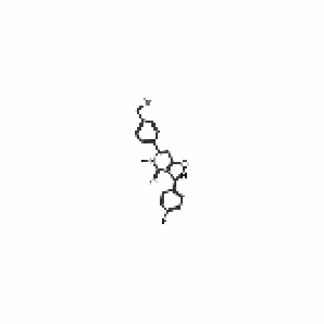 Cn1c(-c2ccc(CBr)cc2)cc2onc(-c3ccc(F)cc3)c2c1=O